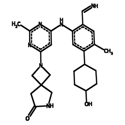 Cc1nc(Nc2cc(C3CCC(O)CC3)c(C)cc2C=N)cc(N2CC3(CNC(=O)C3)C2)n1